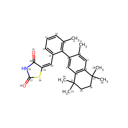 Cc1cc2c(cc1-c1c(C)cccc1C=C1SC(=O)NC1=O)C(C)(C)CCC2(C)C